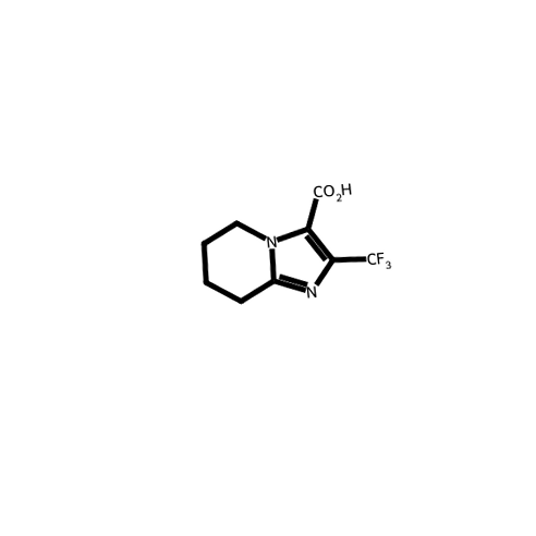 O=C(O)c1c(C(F)(F)F)nc2n1CCCC2